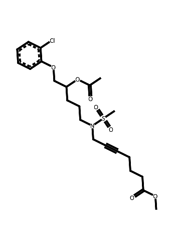 COC(=O)CCCC#CCN(CCCC(COc1ccccc1Cl)OC(C)=O)S(C)(=O)=O